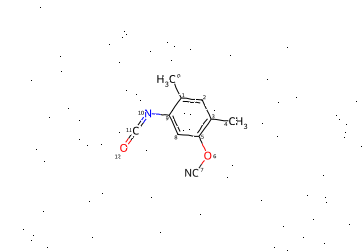 Cc1cc(C)c(OC#N)cc1N=C=O